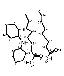 C1CCC(NC2CCCCC2)CC1.CCCCCCCC(=O)O.CCCCCCCC(=O)O